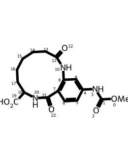 COC(=O)Nc1ccc2c(c1)NC(=O)CCCCCC(C(=O)O)NC2=O